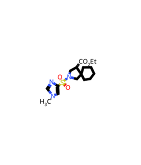 CCOC(=O)C1CN(S(=O)(=O)c2cn(C)cn2)CC12CCCCC2